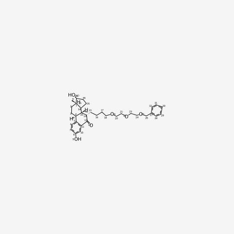 C[C@]12CC[C@@H]3c4ccc(O)cc4C(=O)[C@@H](CCCCOCCOCCOCc4ccccc4)[C@H]3[C@@H]1CC[C@@H]2O